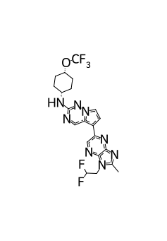 Cc1nc2nc(-c3ccn4nc(N[C@H]5CC[C@@H](OC(F)(F)F)CC5)ncc34)cnc2n1CC(F)F